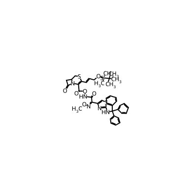 CON=C(C(=O)NOC(=O)C1=C(C=CCO[Si](C)(C)C(C)(C)C)SCC2CC(=O)N12)c1csc(NC(c2ccccc2)(c2ccccc2)c2ccccc2)n1